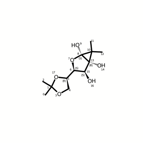 CC1(C)OC[C@H]([C@H]2O[C@@]3(O)C(C)(C)[C@@]3(O)[C@H]2O)O1